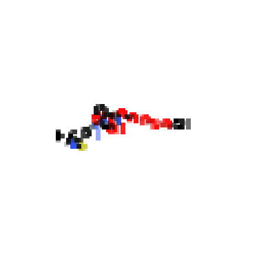 C#CCOCCOCCOCCOCCOc1cc(C(C(=O)N2C[C@H](O)C[C@H]2C(=O)NCc2ccc(-c3scnc3C)cc2)C(C)C)on1